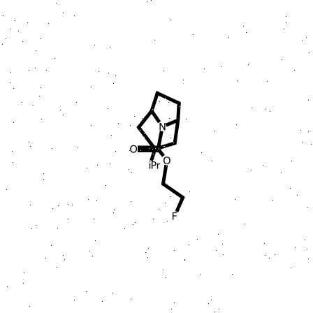 CC(C)C1CC2CCC(C1)N2C(=O)OCCF